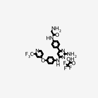 NCC(=O)Nc1ccc(-c2cc(Nc3ccc(Oc4ccnc(C(F)(F)F)c4)cc3)nc(N)n2)cc1.O=C(O)C(F)(F)F